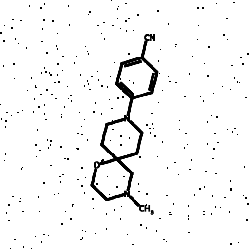 CN1CCOC2(CCN(c3ccc(C#N)cc3)CC2)C1